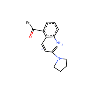 C=C(/C=C\c1c(N)cccc1C(=O)CC)N1CCCC1